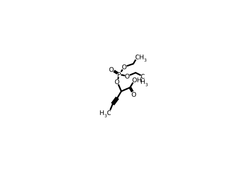 CC#CC(OP(=O)(OCC)OCC)C(=O)O